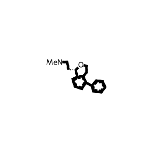 CNCC[C@@H]1OCCc2c(-c3ccccc3)cccc21